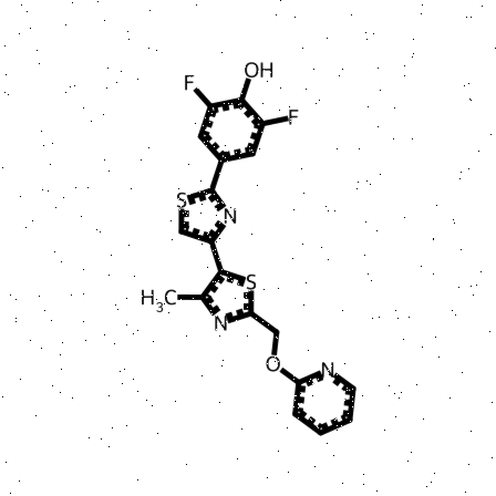 Cc1nc(COc2ccccn2)sc1-c1csc(-c2cc(F)c(O)c(F)c2)n1